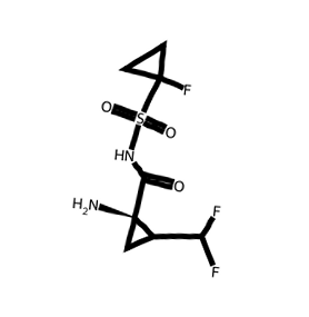 N[C@]1(C(=O)NS(=O)(=O)C2(F)CC2)CC1C(F)F